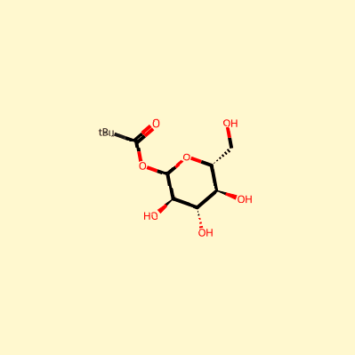 CC(C)(C)C(=O)OC1O[C@H](CO)[C@@H](O)[C@H](O)[C@H]1O